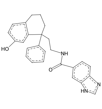 O=C(NCCC1(c2ccccc2)CCCc2ccc(O)cc21)c1ccc2nc[nH]c2c1